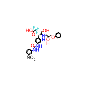 O=C(Nc1ccc(C[C@@H](CO)NC[C@H](O)COc2ccccc2)cc1)Nc1cccc([N+](=O)[O-])c1.O=C(O)C(F)(F)F